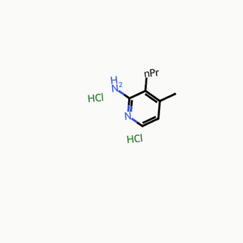 CCCc1c(C)ccnc1N.Cl.Cl